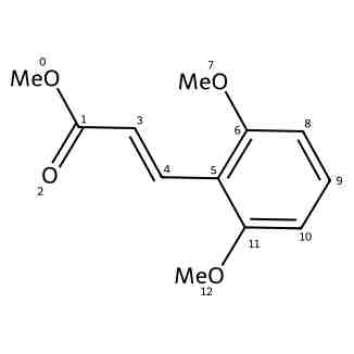 COC(=O)C=Cc1c(OC)cccc1OC